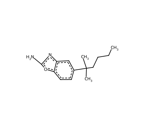 CCCCC(C)(C)c1ccc2oc(N)nc2c1